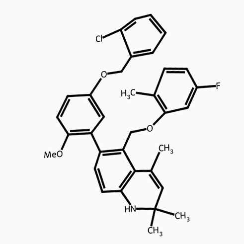 COc1ccc(OCc2ccccc2Cl)cc1-c1ccc2c(c1COc1cc(F)ccc1C)C(C)=CC(C)(C)N2